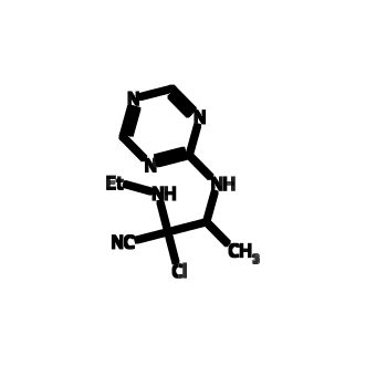 CCNC(Cl)(C#N)C(C)Nc1ncncn1